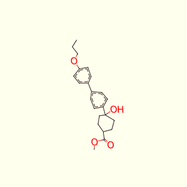 CCCOc1ccc(-c2ccc(C3(O)CCC(C(=O)OC)CC3)cc2)cc1